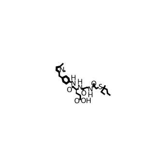 CCCC(C)(CC)SCC(=O)NCC(=O)N[C@@H](CCC(=O)O)C(=O)Nc1ccc(Cc2ccc(C)n2C)cc1